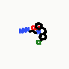 [N-]=[N+]=NCC(O)CN1C2=CC(Cl)=CCC2=CCc2ccccc21